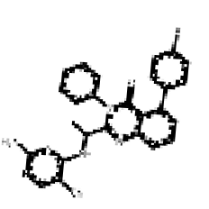 CC(Nc1nc(N)ncc1C#N)c1nc2cccc(-c3ccc(F)cc3)c2c(=O)n1-c1ccccc1